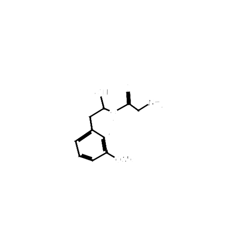 COc1cccc(CC(C)OC(=O)CN)c1